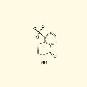 N=C1C=Cc2c(cccc2S(=O)(=O)Cl)C1=O